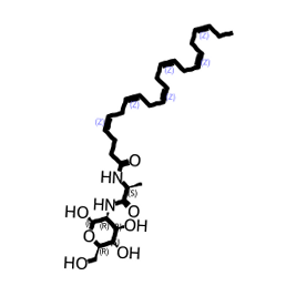 CC/C=C\C/C=C\C/C=C\C/C=C\C/C=C\C/C=C\CCC(=O)N[C@@H](C)C(=O)N[C@@H]1[C@@H](O)[C@H](O)[C@@H](CO)O[C@H]1O